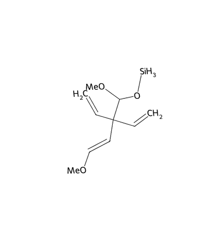 C=CC(C=C)(C=COC)C(OC)O[SiH3]